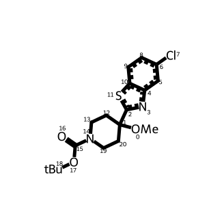 COC1(c2nc3cc(Cl)ccc3s2)CCN(C(=O)OC(C)(C)C)CC1